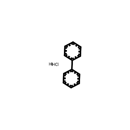 Cl.I.c1ccc(-c2ccccc2)cc1